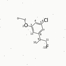 CCOc1cc(Cl)cc([C](C)CF)c1